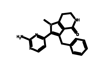 Cn1c2c(c(Cc3ccccc3)c1-c1ccnc(N)n1)C(=O)NCC2